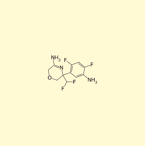 NC1=NC(c2cc(N)c(F)cc2F)(C(F)F)COC1